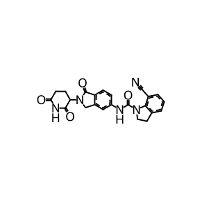 N#Cc1cccc2c1N(C(=O)Nc1ccc3c(c1)CN(C1CCC(=O)NC1=O)C3=O)CC2